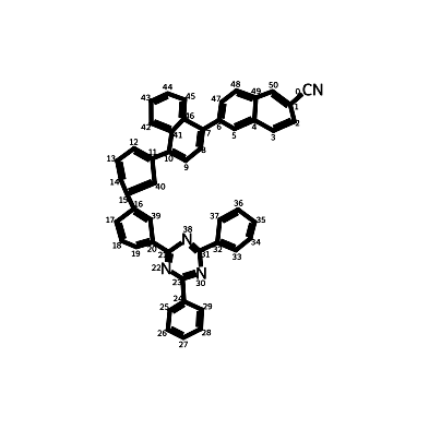 N#Cc1ccc2cc(-c3ccc(-c4cccc(-c5cccc(-c6nc(-c7ccccc7)nc(-c7ccccc7)n6)c5)c4)c4ccccc34)ccc2c1